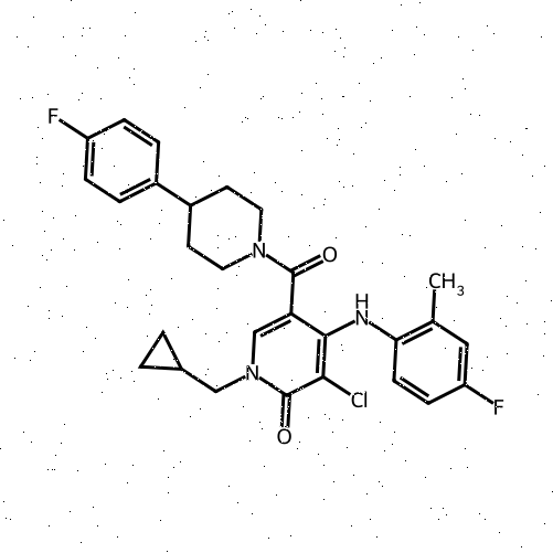 Cc1cc(F)ccc1Nc1c(C(=O)N2CCC(c3ccc(F)cc3)CC2)cn(CC2CC2)c(=O)c1Cl